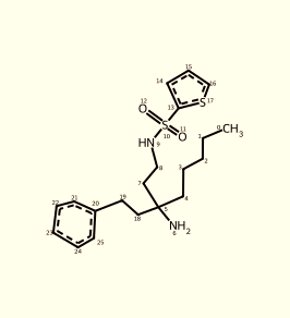 CCCCCC(N)(CCNS(=O)(=O)c1cccs1)CCc1ccccc1